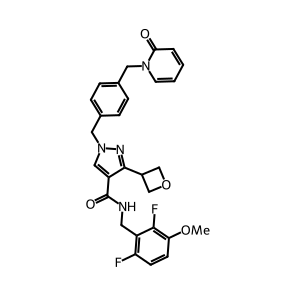 COc1ccc(F)c(CNC(=O)c2cn(Cc3ccc(Cn4ccccc4=O)cc3)nc2C2COC2)c1F